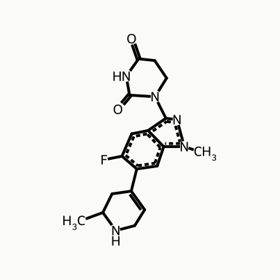 CC1CC(c2cc3c(cc2F)c(N2CCC(=O)NC2=O)nn3C)=CCN1